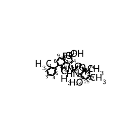 Cc1ccccc1-c1ccc(F)c(C(CC(=O)O)NC(=O)Nc2c(O)cc(C)n(C)c2=O)c1C